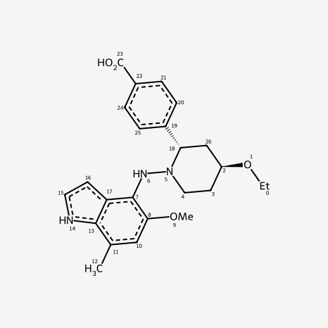 CCO[C@H]1CCN(Nc2c(OC)cc(C)c3[nH]ccc23)[C@H](c2ccc(C(=O)O)cc2)C1